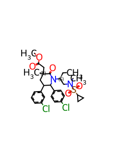 CC[C@@H](CN(C)S(=O)(=O)C1CC1)N1C(=O)[C@@](C)(CC(=O)OC)CC(c2cccc(Cl)c2)C1c1ccc(Cl)cc1